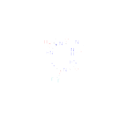 CCCCCCN1CCNC(=O)[C@H]([C@H](C)O)NC(=O)[C@H](CN)NC(=O)C(C2CCCCC2)NC(=O)[C@H](CC(C)C)N(C)C(=O)[C@@H]1CC(F)(F)F